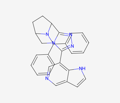 c1ccc(C(c2ccccc2)N2C3CCC2c2nnc(-c4cncc5cc[nH]c45)n2C3)cc1